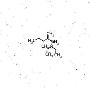 C=C([SiH2]N(CC)CC)C(C)CC